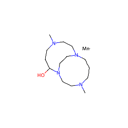 CN1CCC(O)N2CCN(C)CCCN(CC1)CC2.[Mn]